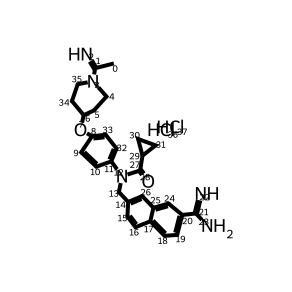 CC(=N)N1CCC(Oc2ccc(N(Cc3ccc4ccc(C(=N)N)cc4c3)C(=O)C3CC3)cc2)CC1.Cl.Cl